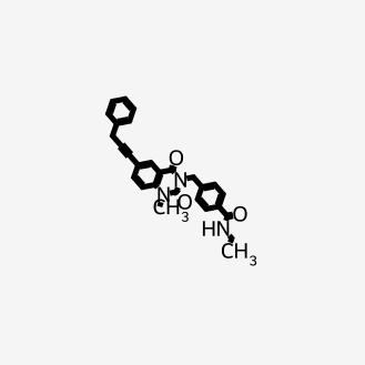 CCNC(=O)c1ccc(Cn2c(=O)c3cc(C#CCc4ccccc4)ccc3n(C)c2=O)cc1